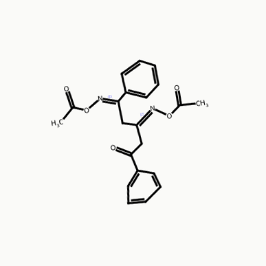 CC(=O)O/N=C(\CC(=O)c1ccccc1)C/C(=N\OC(C)=O)c1ccccc1